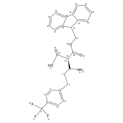 NC(CCc1ccc(C(F)(F)F)cc1)[C@@H](C(=O)O)C(=O)OCC1c2ccccc2-c2ccccc21